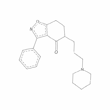 O=C1c2c(-c3ccccc3)noc2CCC1CCCN1CCCCC1